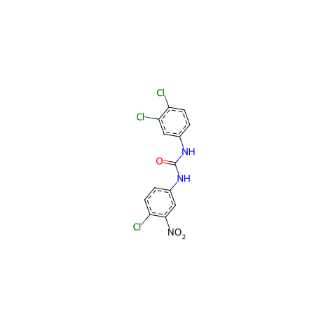 O=C(Nc1ccc(Cl)c(Cl)c1)Nc1ccc(Cl)c([N+](=O)[O-])c1